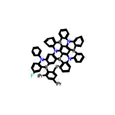 CC(C)c1cc(C(C)C)c(B2c3cc(F)ccc3N(c3ccccc3)c3cc4c(cc32)B2c3ccccc3N3c5ccccc5B5c6ccccc6N6c7ccccc7B7c8ccccc8N4c4c7c6c5c3c42)c(C(C)C)c1